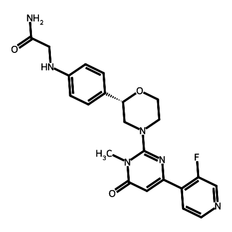 Cn1c(N2CCO[C@@H](c3ccc(NCC(N)=O)cc3)C2)nc(-c2ccncc2F)cc1=O